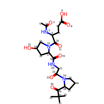 CC(=O)NC(CCC(=O)O)C(=O)N1CC(O)CC1C(=O)NCC(=O)N1CCCC1C(=O)C(C)(C)C